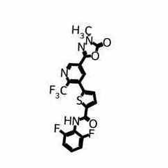 Cn1nc(-c2cnc(C(F)(F)F)c(-c3ccc(C(=O)Nc4c(F)cccc4F)s3)c2)oc1=O